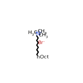 CCCCCCCCCCCCCCCCC[N+](C)(C)C.[Br-]